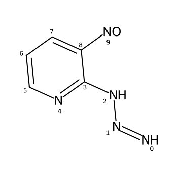 N=NNc1ncccc1N=O